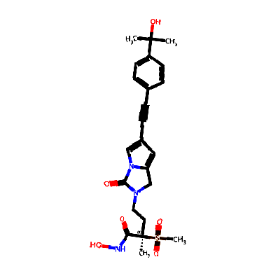 CC(C)(O)c1ccc(C#Cc2cc3n(c2)C(=O)N(CC[C@](C)(C(=O)NO)S(C)(=O)=O)C3)cc1